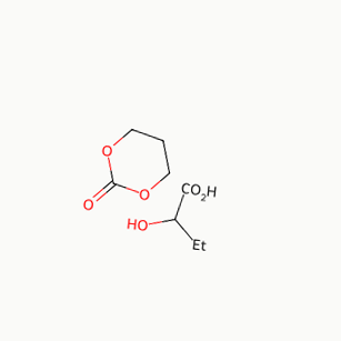 CCC(O)C(=O)O.O=C1OCCCO1